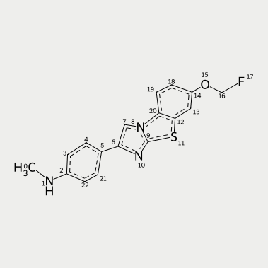 CNc1ccc(-c2cn3c(n2)sc2cc(OCF)ccc23)cc1